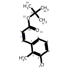 Cc1c(Cl)cccc1/C=C\C(=O)OC(C)(C)C